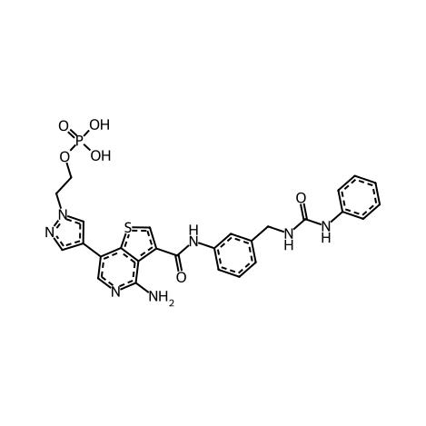 Nc1ncc(-c2cnn(CCOP(=O)(O)O)c2)c2scc(C(=O)Nc3cccc(CNC(=O)Nc4ccccc4)c3)c12